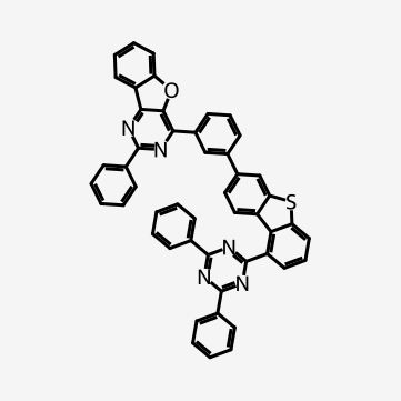 c1ccc(-c2nc(-c3ccccc3)nc(-c3cccc4sc5cc(-c6cccc(-c7nc(-c8ccccc8)nc8c7oc7ccccc78)c6)ccc5c34)n2)cc1